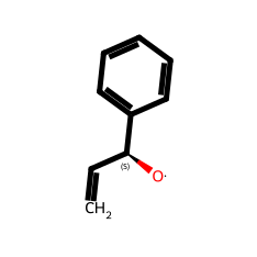 C=C[C@H]([O])c1ccccc1